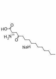 CCCCCCCCCCCC(=O)C[C@H](N)C(=O)O.[NaH]